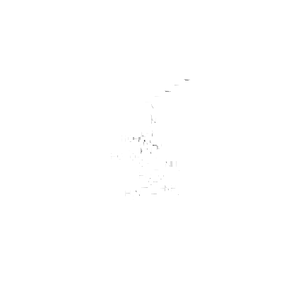 CC(C)=CCC/C(C)=C/CC/C(C)=C/C=N/CCC(O)C(=O)NC1CC(N)C(OC2OC(CN)CCC2N)C(O)C1OC1CC(N)(CO)C(O)C(CO)O1